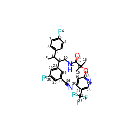 CC(c1ccc(F)cc1)C(CNC(=O)C(C)(C)Oc1ccc(C(F)(F)F)cn1)c1cc(F)cc(C#N)c1